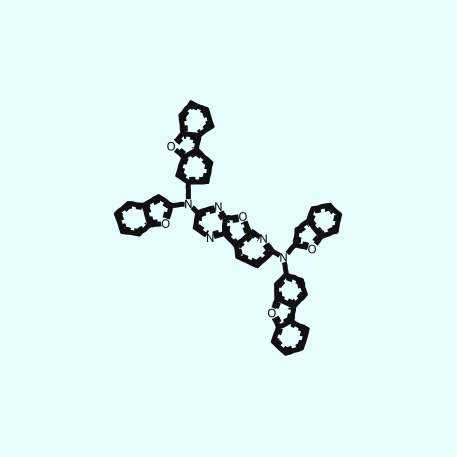 c1ccc2oc(N(c3ccc4c(c3)oc3ccccc34)c3ccc4c(n3)oc3nc(N(c5ccc6c(c5)oc5ccccc56)c5cc6ccccc6o5)cnc34)cc2c1